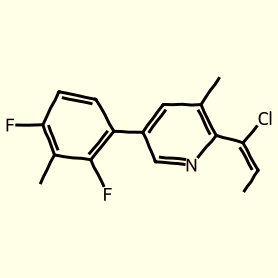 C/C=C(/Cl)c1ncc(-c2ccc(F)c(C)c2F)cc1C